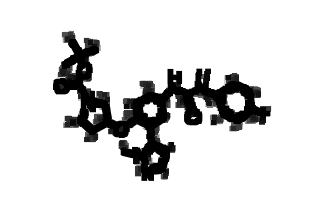 Cn1nccc1-c1cc(NC(=O)Nc2ccc(F)cc2)ccc1OC1CCN(C(=O)OC(C)(C)C)C1